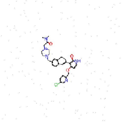 CN(C)C(=O)CN1CCN(Cc2ccc3c(c2)CCC(c2c(OCc4ccc(Cl)cn4)cc[nH]c2=O)=C3)CC1